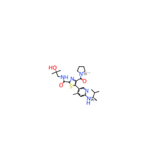 Cc1cc(N[C@H](C)C(C)C)ncc1-c1sc(C(=O)NCC(C)(C)O)nc1C(=O)N1CCC[C@@H]1C